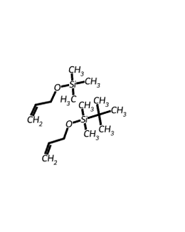 C=CCO[Si](C)(C)C.C=CCO[Si](C)(C)C(C)(C)C